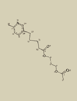 CC(=O)OCCCOC(=O)CCCCc1ccc(C)nc1